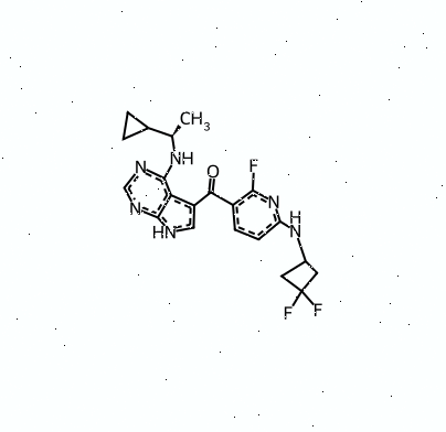 C[C@@H](Nc1ncnc2[nH]cc(C(=O)c3ccc(NC4CC(F)(F)C4)nc3F)c12)C1CC1